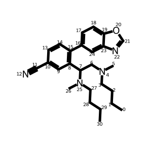 CCCCN(C)CC(c1cc(C#N)ccc1-c1ccc2ocnc2c1)N(C)CCCC